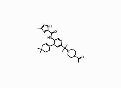 CC(=O)N1CCN(C(C)(C)c2ccc(NC(=O)c3nc(C)c[nH]3)c(C3=CCC(C)(C)CC3)c2)CC1